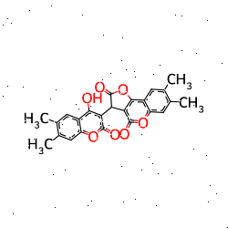 Cc1cc2oc(=O)c(C3C(=O)Oc4c3c(=O)oc3cc(C)c(C)cc43)c(O)c2cc1C